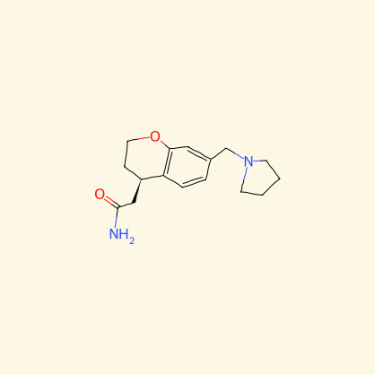 NC(=O)C[C@H]1CCOc2cc(CN3CCCC3)ccc21